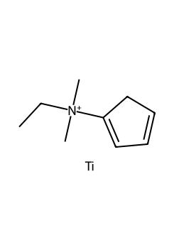 CC[N+](C)(C)C1=CC=CC1.[Ti]